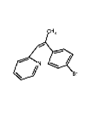 CC(=Cc1ccccn1)c1ccc(Br)cc1